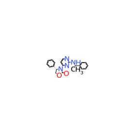 C[C@@H](Nc1nccc(N2C(=O)OC[C@@H]2c2ccccc2)n1)c1ccccc1